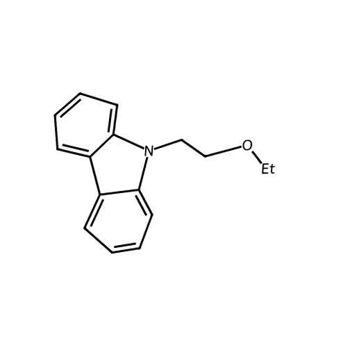 [CH2]COCCn1c2ccccc2c2ccccc21